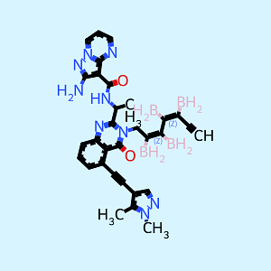 B/C(C#C)=C(B)/C(B)=C(/B)Cn1c(C(C)NC(=O)c2c(N)nn3cccnc23)nc2cccc(C#Cc3cnn(C)c3C)c2c1=O